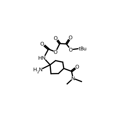 CN(C)C(=O)C1CCC(N)(NC(=O)OC(=O)C(=O)OC(C)(C)C)CC1